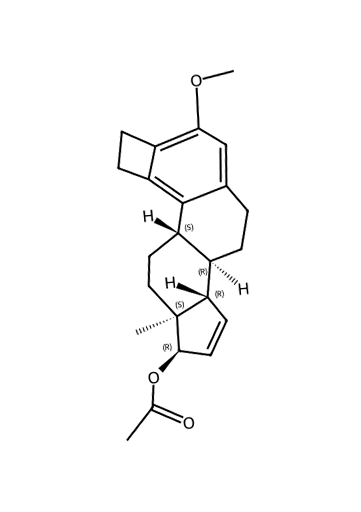 COc1cc2c(c3c1CC3)[C@H]1CC[C@]3(C)[C@H](OC(C)=O)C=C[C@H]3[C@@H]1CC2